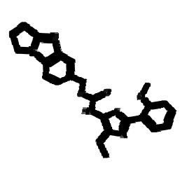 CCc1nc(-c2ccccc2OC)sc1NC(=O)OCc1ccc2c(c1)nc1n2CCC1